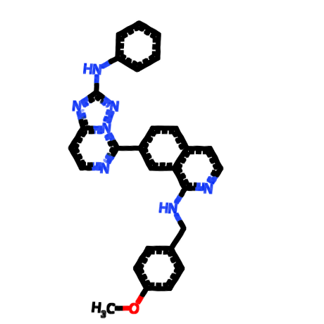 COc1ccc(CNc2nccc3ccc(-c4nccc5nc(Nc6ccccc6)nn45)cc23)cc1